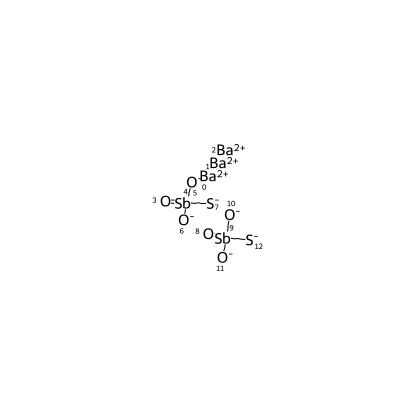 [Ba+2].[Ba+2].[Ba+2].[O]=[Sb]([O-])([O-])[S-].[O]=[Sb]([O-])([O-])[S-]